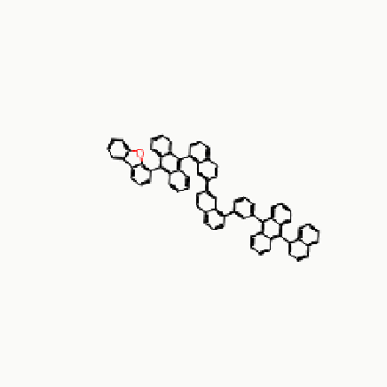 c1cc(-c2cccc3ccc(-c4ccc5cccc(-c6c7ccccc7c(-c7cccc8c7oc7ccccc78)c7ccccc67)c5c4)cc23)cc(-c2c3ccccc3c(-c3cccc4ccccc34)c3ccccc23)c1